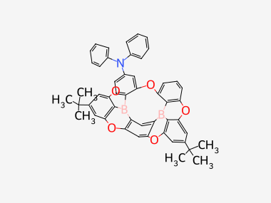 CC(C)(C)c1cc2c3c(c1)Oc1cccc4c1B3c1cc3c(cc1O2)Oc1cc(C(C)(C)C)cc2c1B3c1c(cc(N(c3ccccc3)c3ccccc3)cc1O4)O2